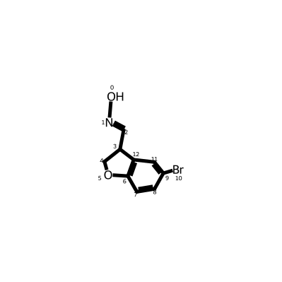 ON=CC1COc2ccc(Br)cc21